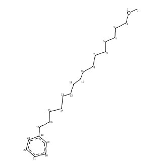 CO[CH]CCCCCCCCCCCCCCCc1ccccc1